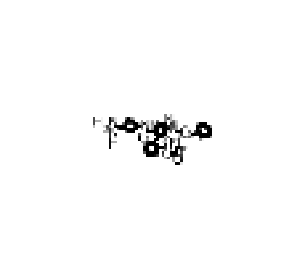 N=C(N)c1ccc(NC(=O)c2cc3ncn(COCc4ccccc4)c3cc2-c2ccccc2C(=O)OC(=O)C(F)(F)F)cc1